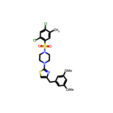 COc1cc(Cc2csc(N3CCN(S(=O)(=O)c4cc(C)c(Cl)cc4Cl)CC3)n2)cc(OC)c1